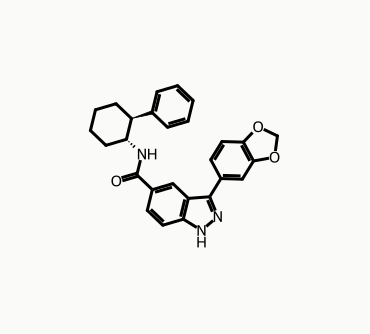 O=C(N[C@@H]1CCCC[C@H]1c1ccccc1)c1ccc2[nH]nc(-c3ccc4c(c3)OCO4)c2c1